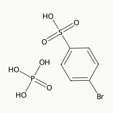 O=P(O)(O)O.O=S(=O)(O)c1ccc(Br)cc1